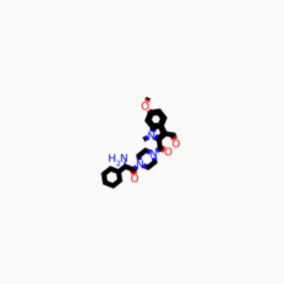 COc1ccc2c(C=O)c(C(=O)N3CCN(C(=O)[C@@H](N)C4CCCCC4)CC3)n(C)c2c1